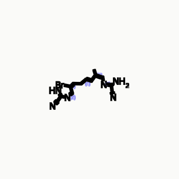 CC(=C/N=C(\N)C#N)/C=C/C/C=C(Br)\C=N/C(=N)C#N